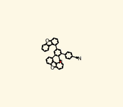 N#Cc1ccc(-c2cc(-c3cccc4oc5ccccc5c34)cc(-c3cccc4oc5ccccc5c34)c2C#N)cc1